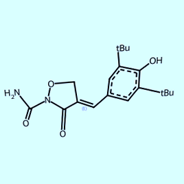 CC(C)(C)c1cc(/C=C2\CON(C(N)=O)C2=O)cc(C(C)(C)C)c1O